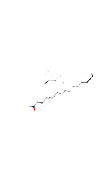 C=CC[N+](C)(C)CCC.CCCCCCCC/C=C\CCCCCCCCCCCC(N)=O.[Br-]